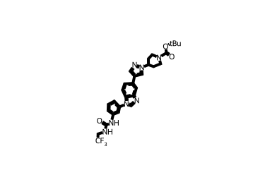 CC(C)(C)OC(=O)N1CCC(n2cc(-c3ccc4c(c3)ncn4-c3cccc(NC(=O)NCC(F)(F)F)c3)cn2)CC1